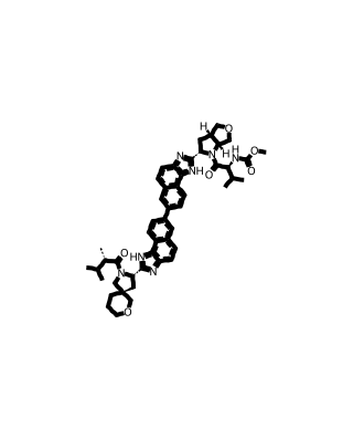 COC(=O)N[C@H](C(=O)N1[C@H](c2nc3ccc4cc(-c5ccc6c(ccc7nc([C@@H]8C[C@@]9(CCCOC9)CN8C(=O)[C@@H](C)C(C)C)[nH]c76)c5)ccc4c3[nH]2)C[C@@H]2COC[C@@H]21)C(C)C